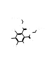 CCCCCCCCCCCOC(=O)c1c(Cl)c(Cl)c(Cl)c(Cl)c1C(=O)OCCCCCCCCCCC